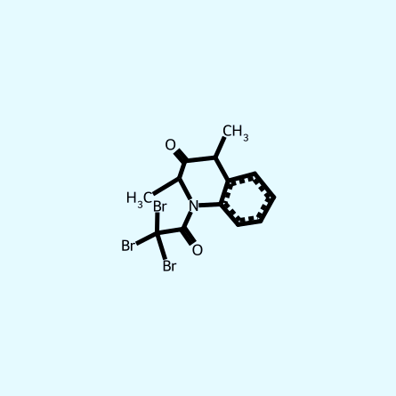 CC1C(=O)C(C)N(C(=O)C(Br)(Br)Br)c2ccccc21